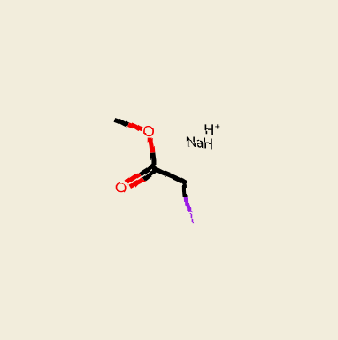 COC(=O)CI.[H+].[NaH]